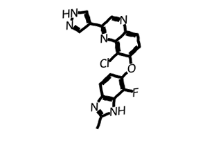 Cc1nc2ccc(Oc3ccc4ncc(-c5cn[nH]c5)nc4c3Cl)c(F)c2[nH]1